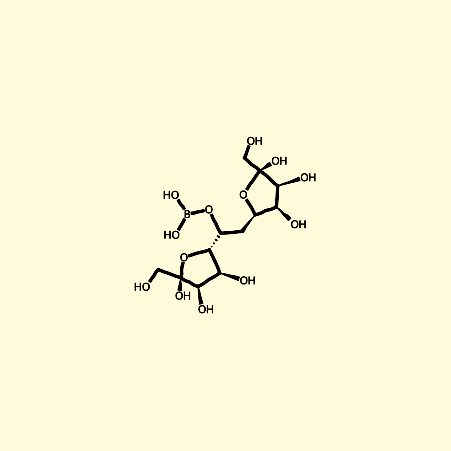 OC[C@@]1(O)O[C@H](CC(OB(O)O)[C@H]2O[C@@](O)(CO)[C@H](O)[C@@H]2O)[C@H](O)[C@@H]1O